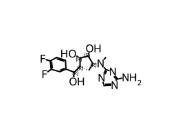 CN(c1ncnc(N)n1)[C@@H]1C[C@H]([C@@H](O)c2ccc(F)c(F)c2)[C@@H](O)[C@H]1O